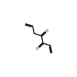 C=CCC(=O)C(=O)C=C